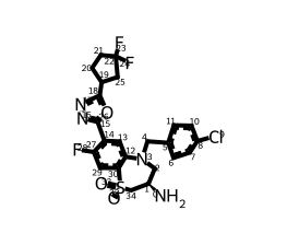 N[C@@H]1CN(Cc2ccc(Cl)cc2)c2cc(-c3nnc(C4CCC(F)(F)C4)o3)c(F)cc2S(=O)(=O)C1